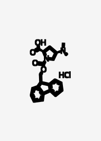 CN(C)[C@@H]1C[C@H](C(=O)O)N(C(=O)OCC2c3ccccc3-c3ccccc32)C1.Cl